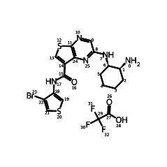 N[C@H]1CCCC[C@H]1Nc1cnc2scc(C(=O)Nc3cscc3Br)c2n1.O=C(O)C(F)(F)F